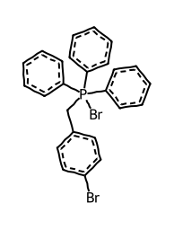 Brc1ccc(CP(Br)(c2ccccc2)(c2ccccc2)c2ccccc2)cc1